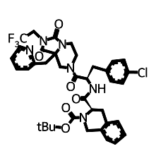 CC(C)(C)OC(=O)N1Cc2ccccc2C[C@@H]1C(=O)N[C@H](Cc1ccc(Cl)cc1)C(=O)N1CCN2C(=O)N(CC(F)(F)F)C(=O)C2(Cc2ccccn2)C1